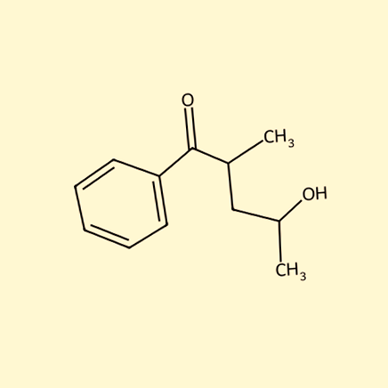 CC(O)CC(C)C(=O)c1ccccc1